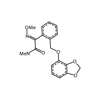 CNC(=O)/C(=N/OC)c1ccccc1COc1cccc2c1OCO2